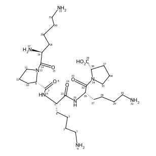 NCCCC[C@H](NC(=O)[C@@H]1CCCN1C(=O)[C@@H](N)CCCCN)C(=O)N[C@@H](CCCCN)C(=O)N1CCC[C@H]1C(=O)O